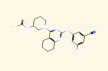 CC(=O)NC1CCCN(c2nc(Nc3cc(N)cc(C#N)c3)nc3c2CCCC3)C1